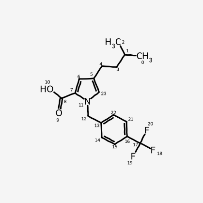 CC(C)CCc1cc(C(=O)O)n(Cc2ccc(C(F)(F)F)cc2)c1